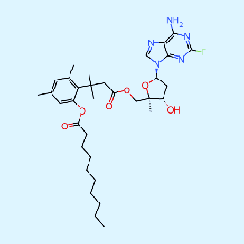 CCCCCCCCCC(=O)Oc1cc(C)cc(C)c1C(C)(C)CC(=O)OC[C@@]1(C)O[C@@H](n2cnc3c(N)nc(F)nc32)C[C@@H]1O